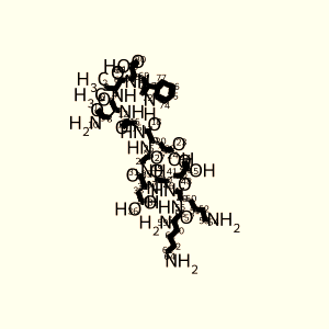 CC(C)[C@H](NC(=O)[C@H](CC(N)=O)NC(=O)CNC(=O)[C@H](CCC(=O)O)NC(=O)CNC(=O)[C@H](CC(=O)O)NC(=O)[C@H](CCC(=O)O)NC(=O)[C@H](CCCCN)NC(=O)[C@@H](N)CCCCN)C(=O)N[C@@H](Cc1c[nH]c2ccccc12)C(=O)O